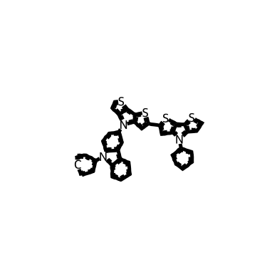 c1ccc(-n2c3ccccc3c3cc(-n4c5ccsc5c5sc(-c6cc7c(s6)c6sccc6n7-c6ccccc6)cc54)ccc32)cc1